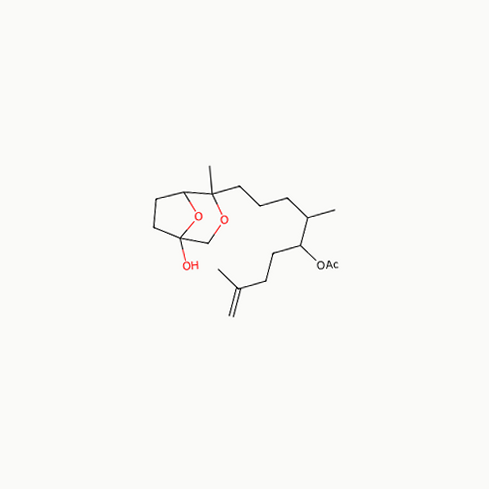 C=C(C)CCC(OC(C)=O)C(C)CCCC1(C)OCC2(O)CCC1O2